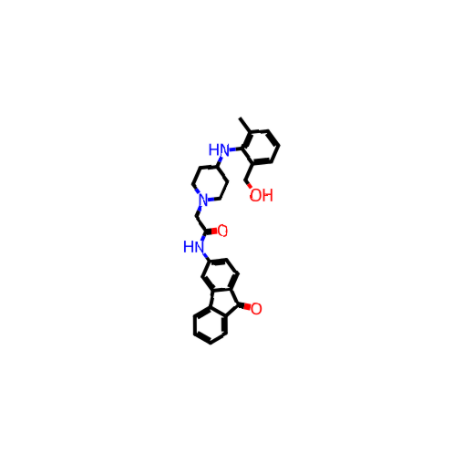 Cc1cccc(CO)c1NC1CCN(CC(=O)Nc2ccc3c(c2)-c2ccccc2C3=O)CC1